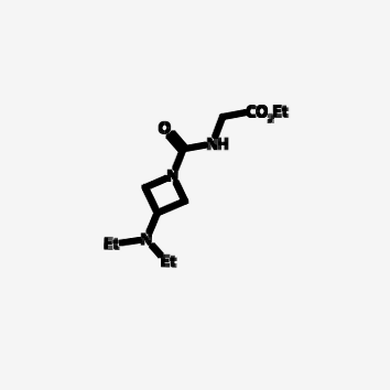 CCOC(=O)CNC(=O)N1CC(N(CC)CC)C1